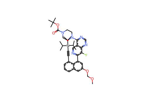 COCOc1cc(-c2ncc3c(N4CCN(C(=O)OC(C)(C)C)CC4)ncnc3c2F)c2c(C#C[Si](C(C)C)(C(C)C)C(C)C)cccc2c1